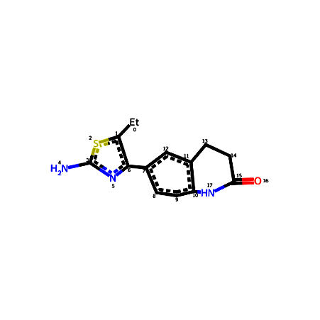 CCc1sc(N)nc1-c1ccc2c(c1)CCC(=O)N2